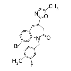 Cc1cnc(C2=Cc3ccc(Br)cc3N(Cc3ccc(C)c(F)c3)C(=O)C2)o1